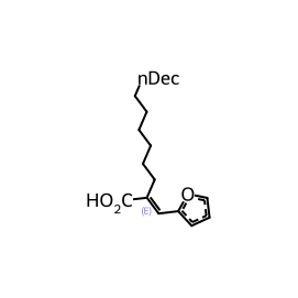 CCCCCCCCCCCCCCCC/C(=C\c1ccco1)C(=O)O